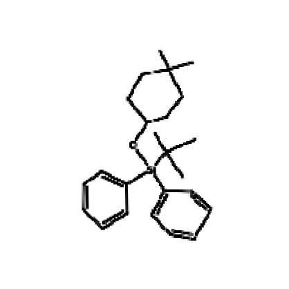 CC1(C)CCC(O[Si](c2ccccc2)(c2ccccc2)C(C)(C)C)CC1